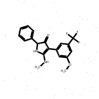 CNC1=C(c2cc(OC)cc(C(F)(F)F)c2)C(=O)C(c2ccccc2)N1